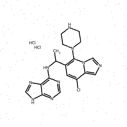 CC(Nc1ncnc2[nH]cnc12)c1cc(Cl)c2cncn2c1N1CCNCC1.Cl.Cl